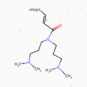 CCCCCCC/C=C/C(=O)N(CCCN(C)C)CCCN(C)C